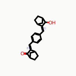 O=C1/C(=C/c2ccc(/C=C3\C4CCC(C4)C3O)cc2)C2CCC1C2